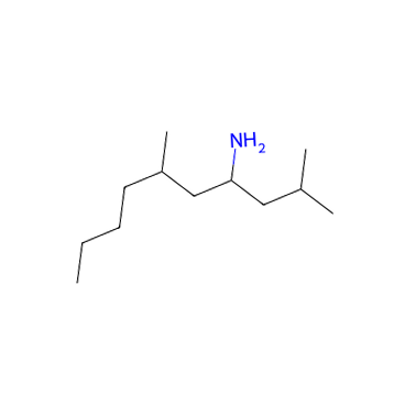 CCCCC(C)CC(N)CC(C)C